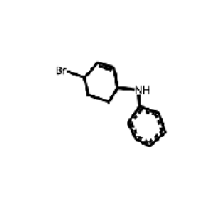 BrC1C=CC(Nc2ccccc2)CC1